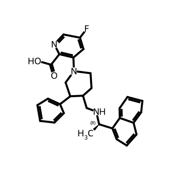 C[C@@H](NCC1CCN(c2cc(F)cnc2C(=O)O)CC1c1ccccc1)c1cccc2ccccc12